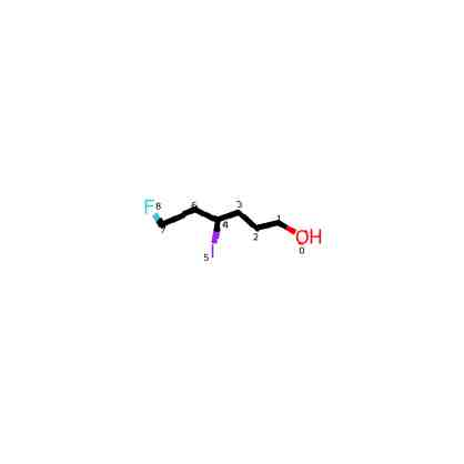 OCCCC(I)CCF